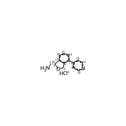 Cl.NC[C@H]1OCc2c(-c3ccncc3)cccc21